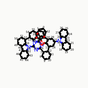 c1ccc(-c2nc(-c3ccccc3-c3cc(-n4c5ccccc5c5ccccc54)cc4c3oc3ccccc34)nc(-n3c4ccccc4c4cccc(-c5ccccc5)c43)n2)cc1